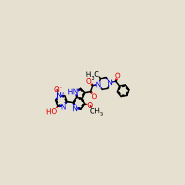 COc1cnc(-c2c[n+]([O-])cc(O)n2)c2[nH]cc(C(=O)C(=O)N3CCN(C(=O)c4ccccc4)CC3C)c12